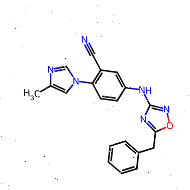 Cc1cn(-c2ccc(Nc3noc(Cc4ccccc4)n3)cc2C#N)cn1